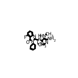 CC[C@H](Nc1ncnc(N)c1NC)c1nc2cccc(F)c2c(=O)n1-c1ccccc1